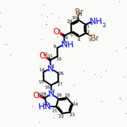 Nc1c(Br)cc(C(=O)NCCC(=O)N2CCC(n3c(=O)[nH]c4ccccc43)CC2)cc1Br